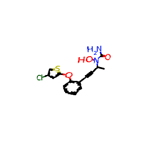 CC(C#Cc1ccccc1Oc1cc(Cl)cs1)N(O)C(N)=O